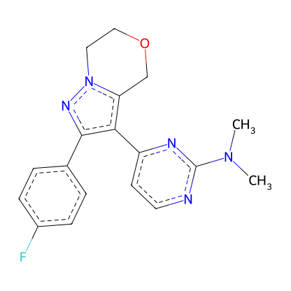 CN(C)c1nccc(-c2c(-c3ccc(F)cc3)nn3c2COCC3)n1